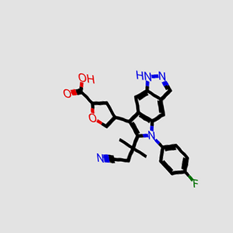 CC(C)(CC#N)c1c(C2COC(C(=O)O)C2)c2cc3[nH]ncc3cc2n1-c1ccc(F)cc1